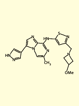 COC1CN(Cc2cc(Nc3nc(C)cn4c(-c5cn[nH]c5)cnc34)sn2)C1